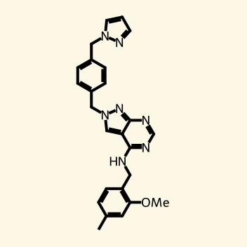 COc1cc(C)ccc1CNc1ncnc2nn(Cc3ccc(Cn4cccn4)cc3)cc12